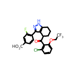 O=C(O)c1ccc(-c2n[nH]c3c2C(C(=O)c2c(Cl)cccc2OCC(F)(F)F)CCC3)c(F)c1